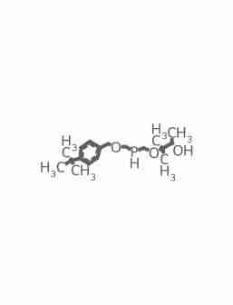 CC(O)C(C)(C)OCPCOCc1ccc(C(C)(C)C)cc1